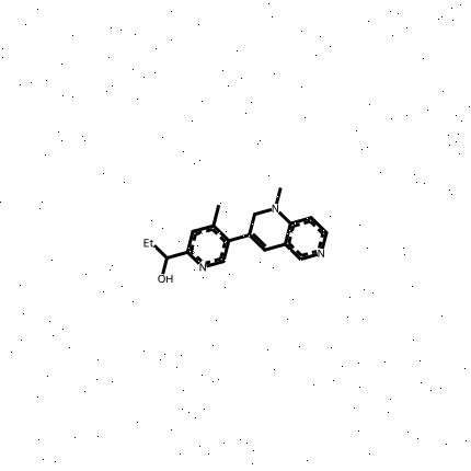 CCC(O)c1cc(C)c(C2=Cc3cnccc3N(C)C2)cn1